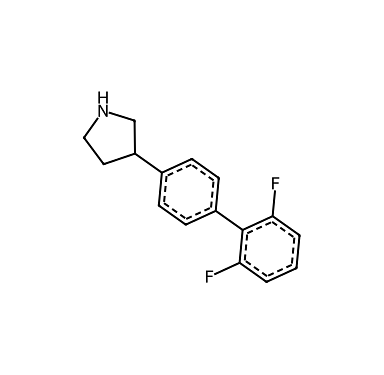 Fc1cccc(F)c1-c1ccc(C2CCNC2)cc1